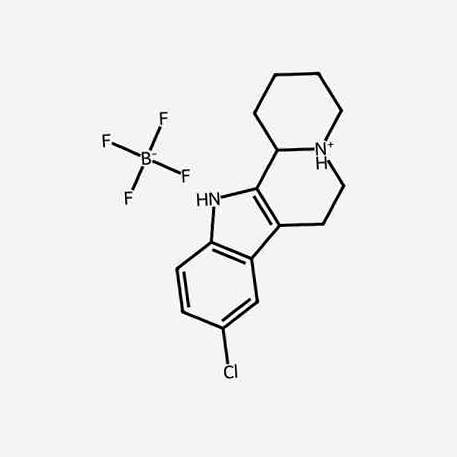 Clc1ccc2[nH]c3c(c2c1)CC[NH+]1CCCCC31.F[B-](F)(F)F